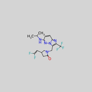 CC(C)Nc1ccc2nc(C(F)(F)F)c(CN3CC(C=C(F)F)CC3=O)n2n1